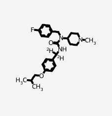 [2H]C([2H])(NC(=O)N(Cc1ccc(F)cc1)C1CCN(C)CC1)c1ccc(OCC(C)C)cc1